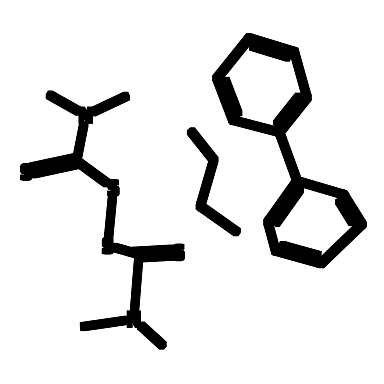 CCCC.CN(C)C(=S)SSC(=S)N(C)C.c1ccc(-c2ccccc2)cc1